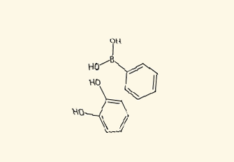 OB(O)c1ccccc1.Oc1ccccc1O